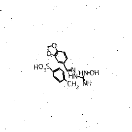 Cc1ccc(S(=O)(=O)O)cc1.N=C(NO)N/N=C/c1ccc2c(c1)OCO2